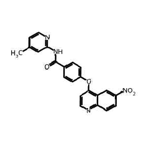 Cc1ccnc(NC(=O)c2ccc(Oc3ccnc4ccc([N+](=O)[O-])cc34)cc2)c1